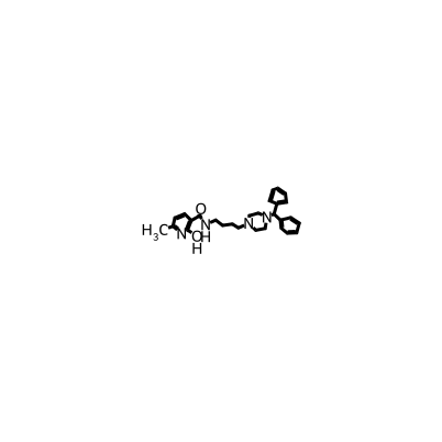 Cc1ccc(C(=O)NCCCCN2CCN(C(c3ccccc3)c3ccccc3)CC2)c(O)n1